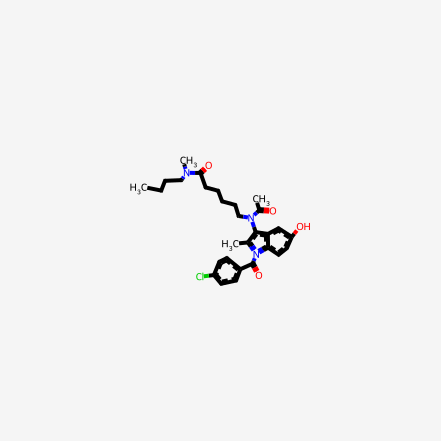 CCCCN(C)C(=O)CCCCCN(C(C)=O)c1c(C)n(C(=O)c2ccc(Cl)cc2)c2ccc(O)cc12